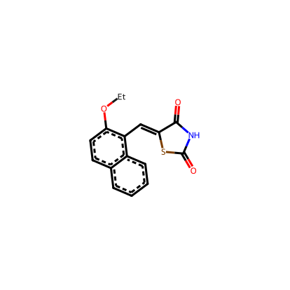 CCOc1ccc2ccccc2c1C=C1SC(=O)NC1=O